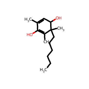 CCCCCCC1(C)C(C)=C(O)C(C)=CC1O